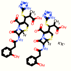 CC(C(=O)O)C(Sc1nnn[nH]1)C1=C(C(=O)[O-])N2C(=O)C(NC(=O)Cc3ccccc3O)[C@H]2SC1.CC(C(=O)O)C(Sc1nnn[nH]1)C1=C(C(=O)[O-])N2C(=O)C(NC(=O)Cc3ccccc3O)[C@H]2SC1.[K+].[K+]